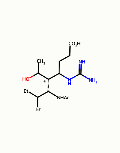 CCC(CC)C(NC(C)=O)[C@H](C(C)O)C(CCC(=O)O)NC(=N)N